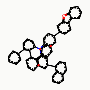 c1ccc(-c2ccccc2-c2c(-c3ccccc3)cccc2N(c2ccc(-c3ccc4c(c3)oc3ccccc34)cc2)c2cccc(-c3cccc4ccccc34)c2)cc1